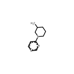 CC1CCCN(c2ccn[c]n2)C1